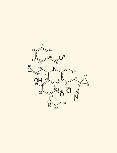 N#CC1(c2ccc(N3C(=O)c4ccccc4C(C(=O)O)C3c3ccc4c(c3)OCCO4)cc2Cl)CC1